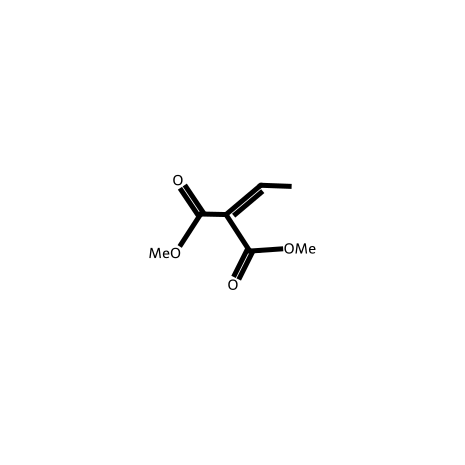 CC=C(C(=O)OC)C(=O)OC